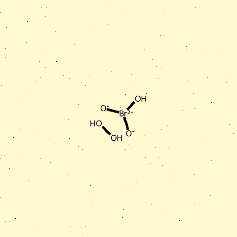 OO.[O-][Br+2]([O-])O